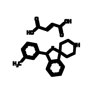 Cc1cccc(C2SC3(CCNCC3)c3ccccc32)c1.O=C(O)C=CC(=O)O